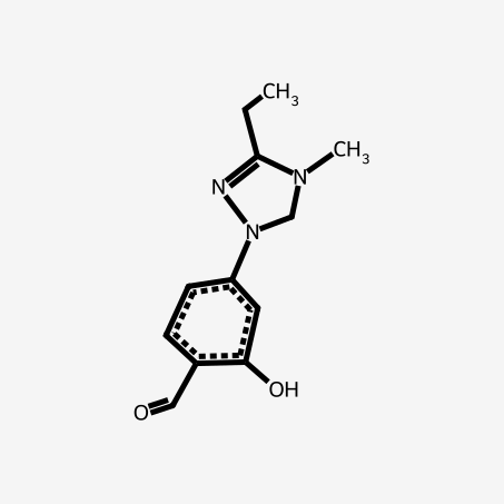 CCC1=NN(c2ccc(C=O)c(O)c2)CN1C